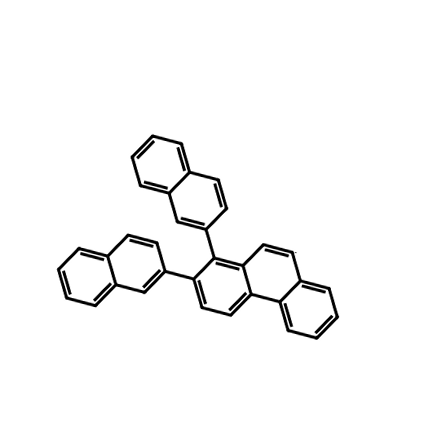 [c]1cc2c(-c3ccc4ccccc4c3)c(-c3ccc4ccccc4c3)ccc2c2ccccc12